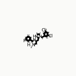 NCC(Cc1nccn1Cc1cc(Cl)cc(Cl)c1)NCc1cccc(F)c1